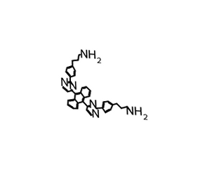 NCCCc1ccc(-c2nccc(-c3c4ccccc4c(-c4ccnc(-c5ccc(CCCN)cc5)n4)c4ccccc34)n2)cc1